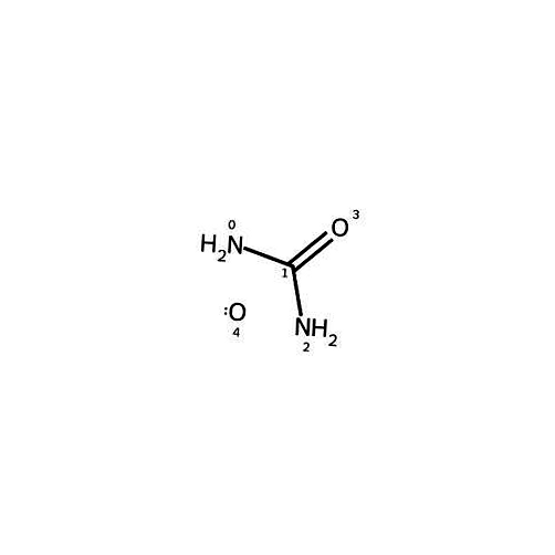 NC(N)=O.[O]